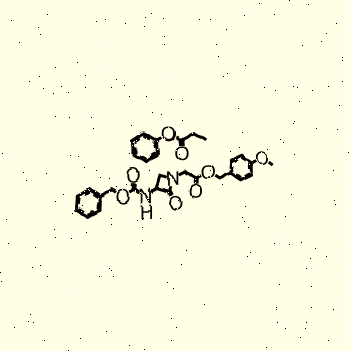 CCC(=O)Oc1ccccc1.COc1ccc(COC(=O)CN2CC(NC(=O)OCc3ccccc3)C2=O)cc1